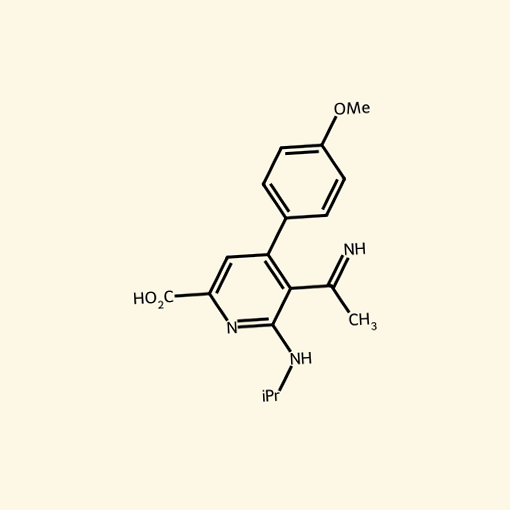 COc1ccc(-c2cc(C(=O)O)nc(NC(C)C)c2C(C)=N)cc1